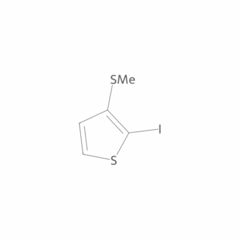 CSc1ccsc1I